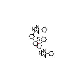 c1ccc(-c2ncnc(-c3cccc(-c4ccccc4Sc4ccccc4-c4cccc(-c5ncnc(-c6ccccc6)n5)c4)c3)n2)cc1